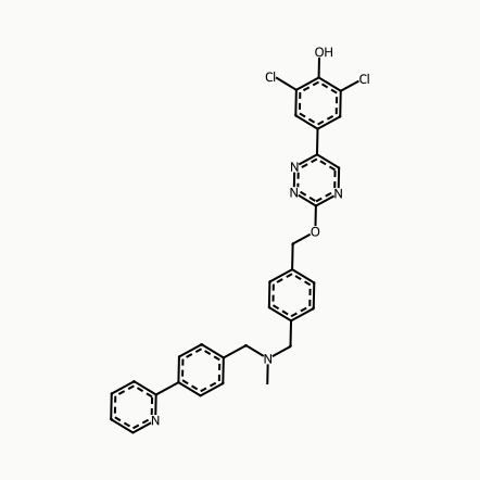 CN(Cc1ccc(COc2ncc(-c3cc(Cl)c(O)c(Cl)c3)nn2)cc1)Cc1ccc(-c2ccccn2)cc1